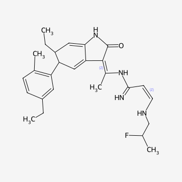 CCc1ccc(C)c(C2C=C3C(=CC2CC)NC(=O)/C3=C(/C)NC(=N)/C=C\NCC(C)F)c1